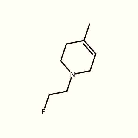 CC1=CCN(CCF)CC1